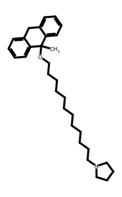 CC1(OCCCCCCCCCCCCN2CCCC2)c2ccccc2Cc2ccccc21